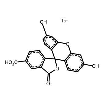 O=C(O)c1ccc2c(c1)C(=O)OC21c2ccc(O)cc2Oc2cc(O)ccc21.[Tb]